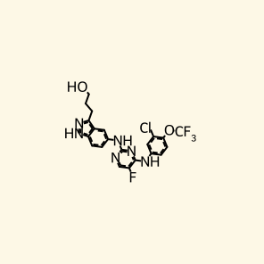 OCCCc1n[nH]c2ccc(Nc3ncc(F)c(Nc4ccc(OC(F)(F)F)c(Cl)c4)n3)cc12